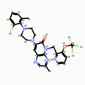 Cc1cnc2cc(N3CCN(c4c(C)cccc4F)CC3)c(=O)n(Cc3ncccc3OC(F)(F)F)c2n1